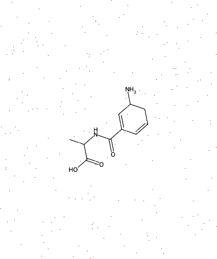 CC(NC(=O)C1=CC(N)CC=C1)C(=O)O